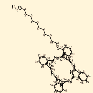 CCCCCCCCCCCCSc1cccc2c3nc4nc(nc5[nH]c(nc6nc(nc([nH]3)c12)-c1ccccc1-6)c1ccccc51)-c1ccccc1-4